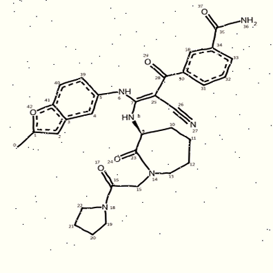 Cc1cc2cc(NC(N[C@H]3CCCCN(CC(=O)N4CCCC4)C3=O)=C(C#N)C(=O)c3cccc(C(N)=O)c3)ccc2o1